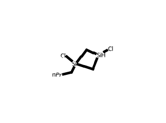 CCCC[Si]1(Cl)C[SiH](Cl)C1